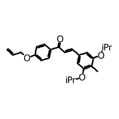 C=CCOc1ccc(C(=O)/C=C/c2cc(OC(C)C)c(C)c(OC(C)C)c2)cc1